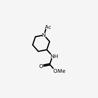 COC(=O)NC1CCCN(C(C)=O)C1